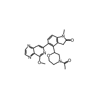 COc1nc(-c2ccc3c(c2C2CN(C(C)=O)CCO2)CC(=O)N3C)cc2nccnc12